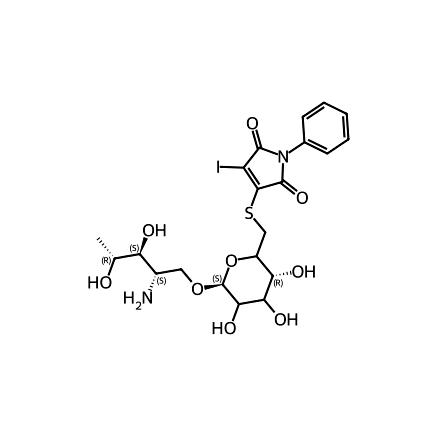 C[C@@H](O)[C@@H](O)[C@@H](N)CO[C@H]1OC(CSC2=C(I)C(=O)N(c3ccccc3)C2=O)[C@H](O)C(O)C1O